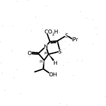 CC(C)SC1=C(C(=O)O)N2C(=O)[C@H](C(C)O)[C@H]2S1